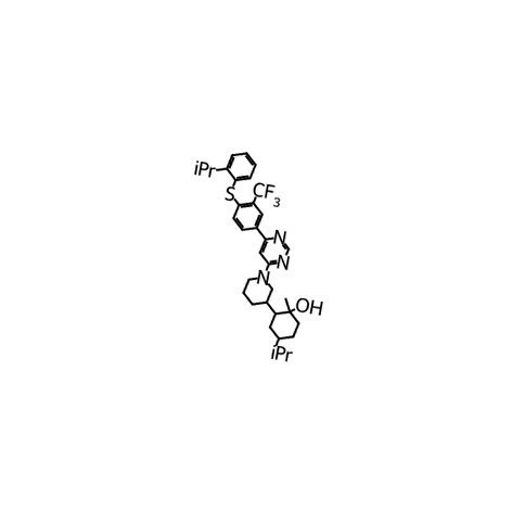 CC(C)c1ccccc1Sc1ccc(-c2cc(N3CCCC(C4CC(C(C)C)CCC4(C)O)C3)ncn2)cc1C(F)(F)F